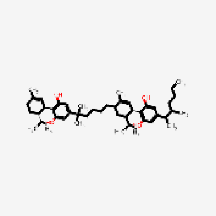 CCCCC(C)C(C)c1cc(O)c([C@@H]2C=C(C)C(CCCCC(C)(C)c3cc(O)c([C@@H]4C=C(C)CC[C@H]4C(C)C)c(O)c3)CC2C(C)C)c(O)c1